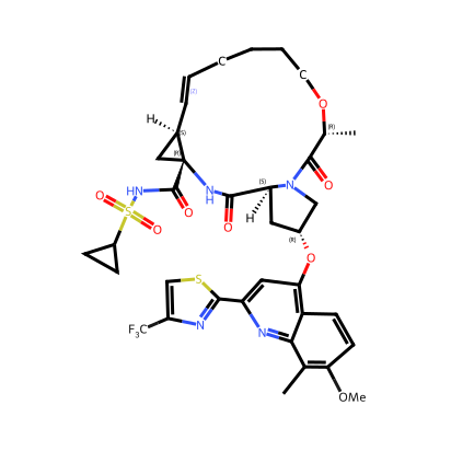 COc1ccc2c(O[C@@H]3C[C@H]4C(=O)N[C@]5(C(=O)NS(=O)(=O)C6CC6)C[C@H]5/C=C\CCCCO[C@H](C)C(=O)N4C3)cc(-c3nc(C(F)(F)F)cs3)nc2c1C